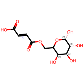 O=C(O)/C=C/C(=O)OCC1O[C@H](O)[C@H](O)[C@@H](O)[C@H]1O